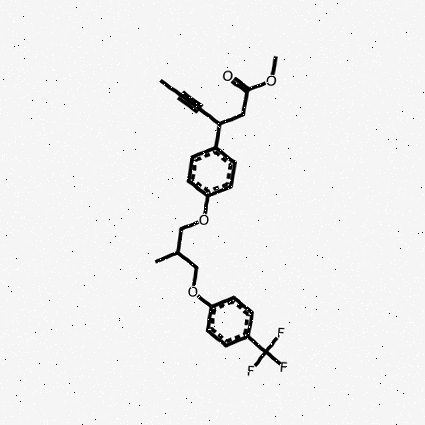 CC#CC(CC(=O)OC)c1ccc(OCC(C)COc2ccc(C(F)(F)F)cc2)cc1